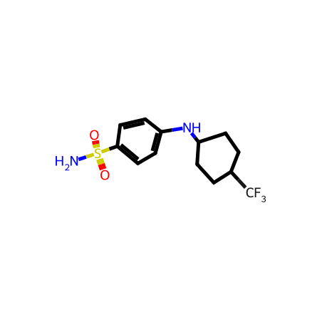 NS(=O)(=O)c1ccc(NC2CCC(C(F)(F)F)CC2)cc1